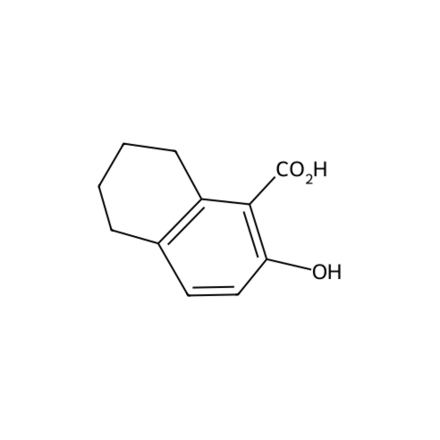 O=C(O)c1c(O)ccc2c1CCCC2